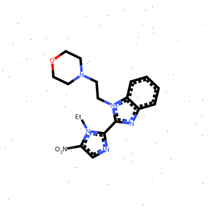 CCn1c([N+](=O)[O-])cnc1-c1nc2ccccc2n1CCN1CCOCC1